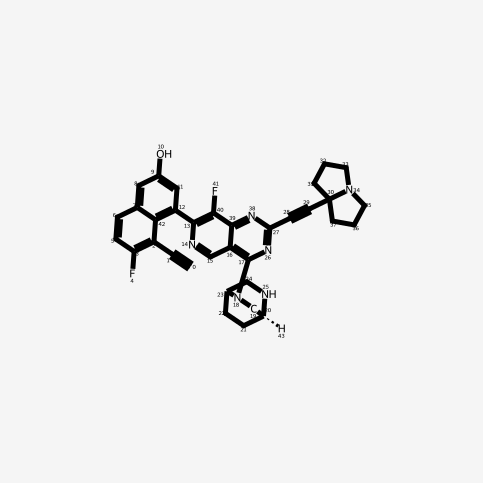 C#Cc1c(F)ccc2cc(O)cc(-c3ncc4c(N5C[C@@H]6CCC5CN6)nc(C#CC56CCCN5CCC6)nc4c3F)c12